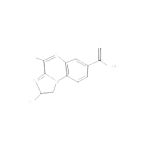 COC(=O)c1ccc2c(c1)N=C(Cl)C1=NC(C(C)(C)C)CN12